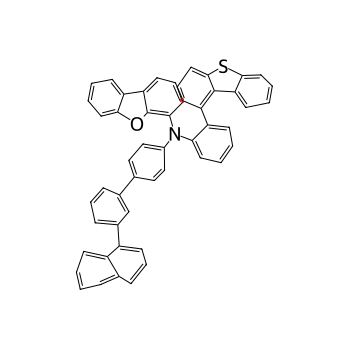 c1cc(-c2ccc(N(c3ccccc3-c3cccc4sc5ccccc5c34)c3cccc4c3oc3ccccc34)cc2)cc(-c2cccc3ccccc23)c1